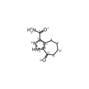 NC(=O)c1n[nH]c2c1CCCCC2=O